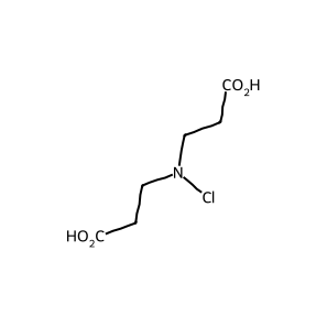 O=C(O)CCN(Cl)CCC(=O)O